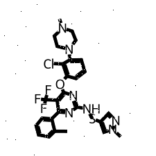 Cc1ccccc1-c1nc(NSc2cnn(C)c2)nc(Oc2cccc(N3CCN(C)CC3)c2Cl)c1C(F)(F)F